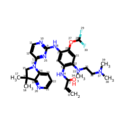 C=CC(O)Nc1cc(Nc2nccc(N3CC(C)(C)c4ncccc43)n2)c(OC(F)F)cc1N(C)CCN(C)C